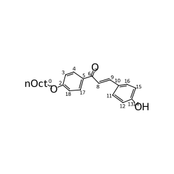 CCCCCCCCOc1ccc(C(=O)C=Cc2ccc(O)cc2)cc1